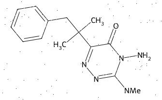 CNc1nnc(C(C)(C)Cc2ccccc2)c(=O)n1N